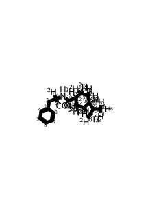 [2H]C(Cc1ccccc1)(NC(=O)[C@]1([2H])C([2H])([2H])C([2H])([2H])[C@@]([2H])(C(C([2H])([2H])[2H])C([2H])([2H])[2H])C([2H])([2H])C1([2H])[2H])C(=O)O